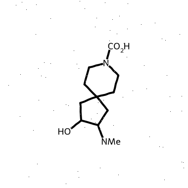 CNC1CC2(CCN(C(=O)O)CC2)CC1O